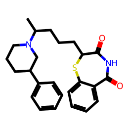 CC(CCCC1Sc2ccccc2C(=O)NC1=O)N1CCCC(c2ccccc2)C1